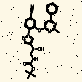 Cc1nc(Oc2cc(C#N)ccc2-n2cc([C@@H](O)CNC(=O)OC(C)(C)C)cn2)cc(-c2ccccc2)n1